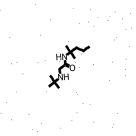 CCCC(C)(C)NC(=O)CNC(C)(C)C